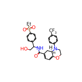 CCS(=O)(=O)c1ccc(C(CO)NC(=O)C2=CC=C3OCCN(c4ccc(C(F)(F)F)cc4)[C@@H]3C2)cc1